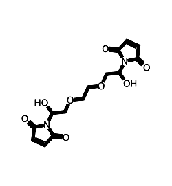 O=C1C=CC(=O)N1C(O)COCCOCC(O)N1C(=O)C=CC1=O